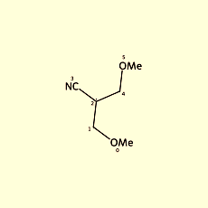 COC[C](C#N)COC